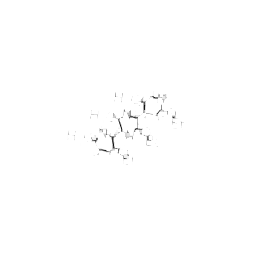 CCOc1cc(-c2nc(C)c(-c3nc(C)ccc3OCC)nc2OCC)c(C)cn1